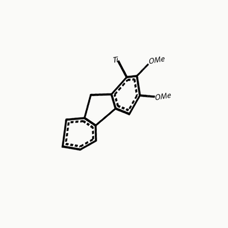 COc1cc2c([c]([Ti])c1OC)Cc1ccccc1-2